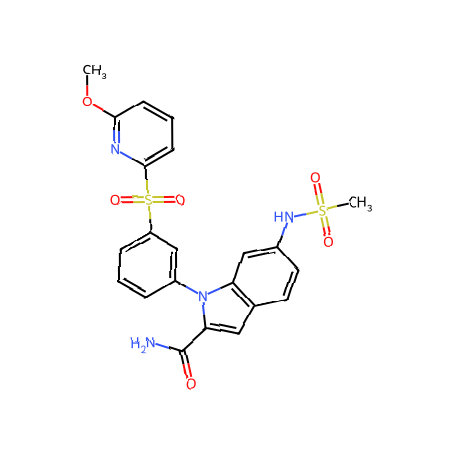 COc1cccc(S(=O)(=O)c2cccc(-n3c(C(N)=O)cc4ccc(NS(C)(=O)=O)cc43)c2)n1